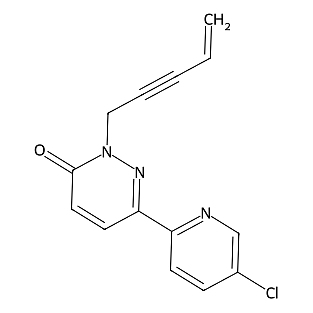 C=CC#CCn1nc(-c2ccc(Cl)cn2)ccc1=O